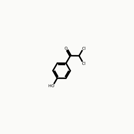 O=C(c1ccc(O)cc1)C(Cl)Cl